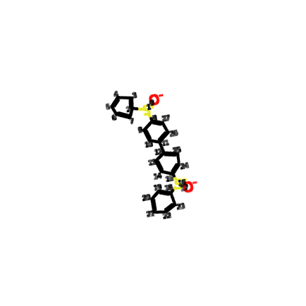 [O-][S+](c1ccccc1)c1ccc(-c2ccc([S+]([O-])c3ccccc3)cc2)cc1